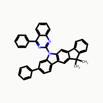 CC1(C)c2ccccc2-c2cc3c(cc21)c1ccc(-c2ccccc2)cc1n3-c1nc(-c2ccccc2)c2ccccc2n1